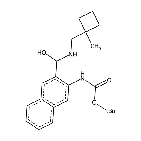 CC1(CNC(O)c2cc3ccccc3cc2NC(=O)OC(C)(C)C)CCC1